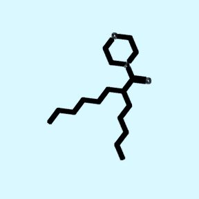 CCCCCCC(CCCCC)C(=O)N1CCOCC1